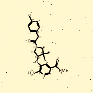 CNC(=O)c1cnc(N)c(O[C@H]2CN(C(=O)Cc3ccc(C)cc3)CC2(C)C)c1